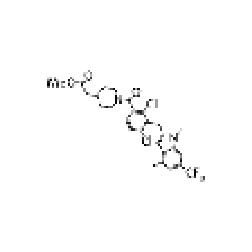 COC(=O)CC1CCN(C(=O)c2ccc(Cl)c(Cc3cc4c(C)cc(C(F)(F)F)cc4n3C)c2Cl)CC1